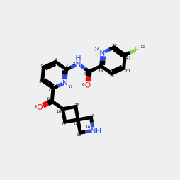 O=C(Nc1cccc(C(=O)C2CC3(CNC3)C2)n1)c1ccc(F)cn1